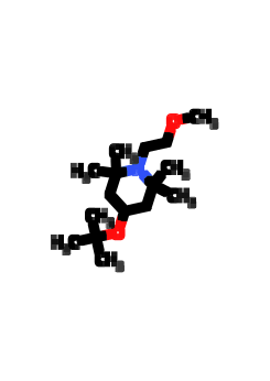 COCCN1C(C)(C)CC(OC(C)(C)C)CC1(C)C